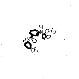 CC1=C(Nc2cccc(C(=O)Nc3cccc(C(F)(F)F)c3)c2)CCC1=O